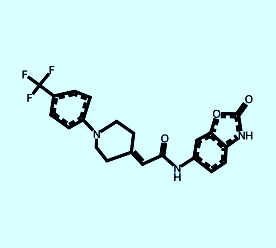 O=C(C=C1CCN(c2ccc(C(F)(F)F)cc2)CC1)Nc1ccc2[nH]c(=O)oc2c1